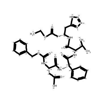 CCOC(=O)C[C@H](Cc1nnn[nH]1)NC(=O)[C@@H](NC(=O)[C@@H](NC(=O)[C@H](CC(=O)O)NC(=O)OCc1ccccc1)c1ccccc1)C(C)C